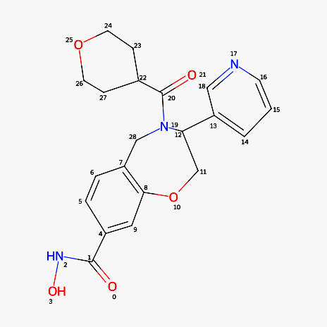 O=C(NO)c1ccc2c(c1)OCC(c1cccnc1)N(C(=O)C1CCOCC1)C2